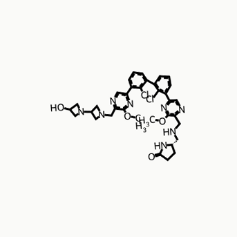 COc1nc(-c2cccc(-c3cccc(-c4cnc(CN5CC(N6CC(O)C6)C5)c(OC)n4)c3Cl)c2Cl)cnc1CNC[C@@H]1CCC(=O)N1